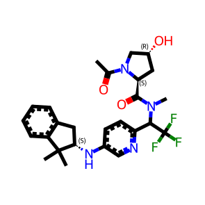 CC(=O)N1C[C@H](O)C[C@H]1C(=O)N(C)C(c1ccc(N[C@H]2Cc3ccccc3C2(C)C)cn1)C(F)(F)F